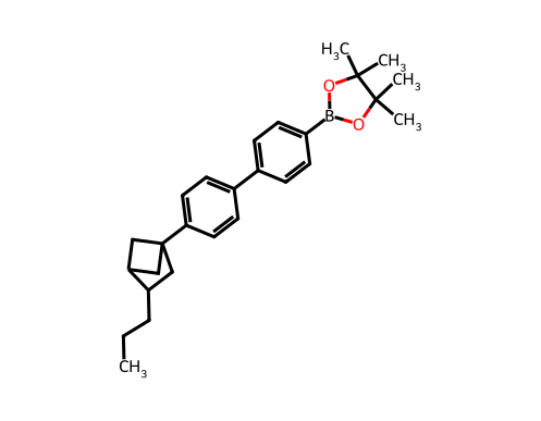 CCCC1CC2(c3ccc(-c4ccc(B5OC(C)(C)C(C)(C)O5)cc4)cc3)CC1C2